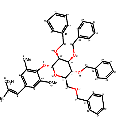 CCC(=Cc1cc(OC)c(O[C@H]2O[C@H](COCc3ccccc3)[C@@H](OCc3ccccc3)[C@H](OCc3ccccc3)[C@@H]2OCc2ccccc2)c(OC)c1)C(=O)O